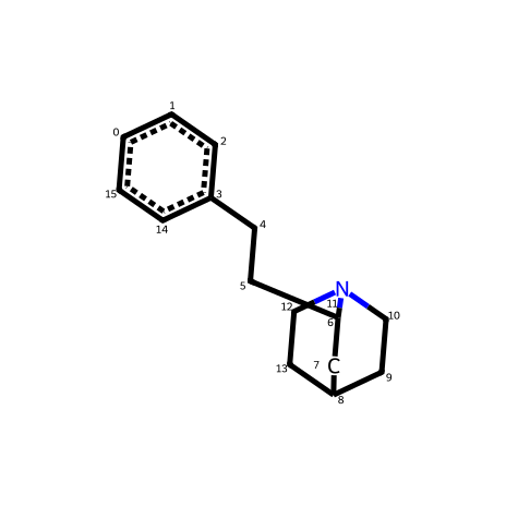 c1ccc(CCC2CC3CCN2CC3)cc1